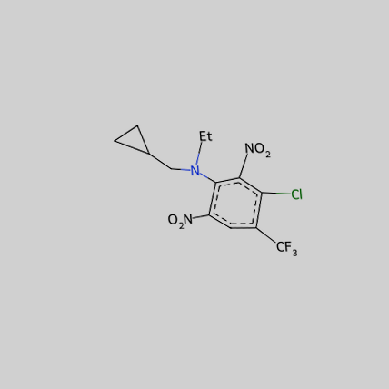 CCN(CC1CC1)c1c([N+](=O)[O-])cc(C(F)(F)F)c(Cl)c1[N+](=O)[O-]